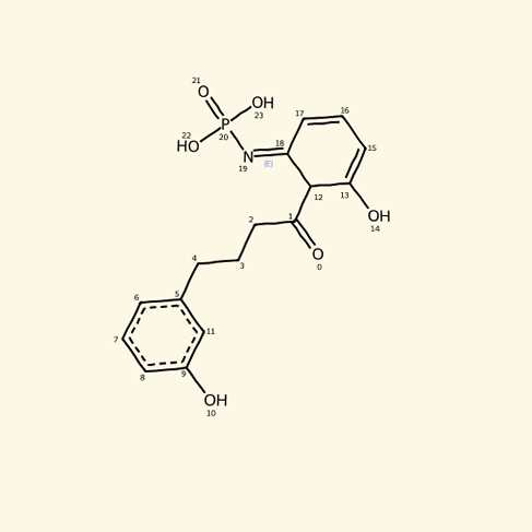 O=C(CCCc1cccc(O)c1)C1C(O)=CC=C/C1=N\P(=O)(O)O